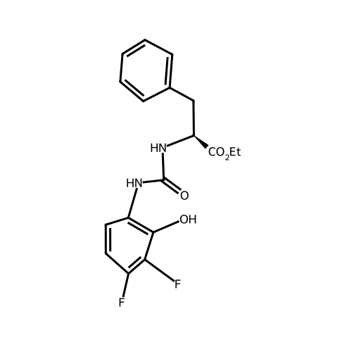 CCOC(=O)[C@H](Cc1ccccc1)NC(=O)Nc1ccc(F)c(F)c1O